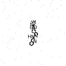 Cc1nc(S(=O)(=O)N2CCc3c(ccnc3Nc3cnc4ccccc4c3)C2)cn1C